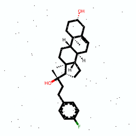 C[C@]12CC[C@H]3[C@@H](CC=C4C[C@@H](O)CC[C@@]43C)[C@@H]1CC[C@@H]2[C@@](C)(O)CCc1ccc(F)cc1